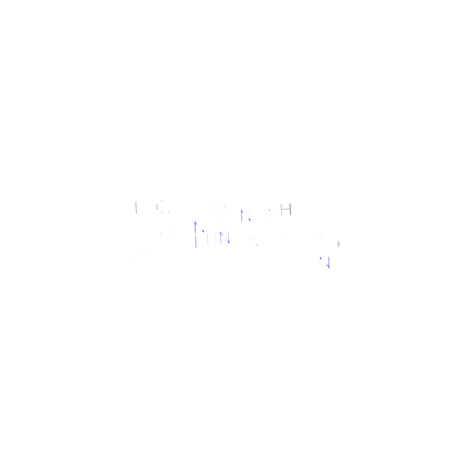 Cc1nc(NC(=O)NC[C@H](C)OCC2CC2)sc1-c1ccc2ncccc2c1